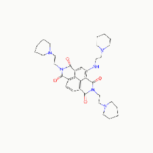 O=C1c2ccc3c4c(c(NCCN5CCCCC5)cc(c24)C(=O)N1CCN1CCCCC1)C(=O)N(CCN1CCCCC1)C3=O